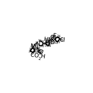 O=C(O)c1ccc2nc(CN3CCC(c4cccc(NS(=O)(=O)c5ccc(Cl)cc5F)n4)CC3)n(C[C@@H]3CCO3)c2c1